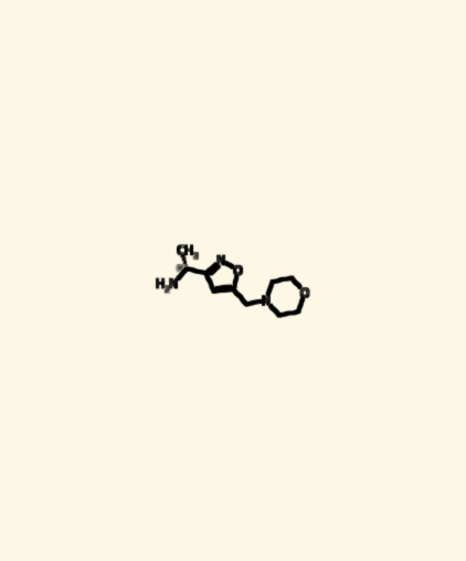 C[C@@H](N)c1cc(CN2CCOCC2)on1